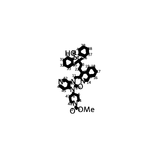 COC(=O)N1CCC(n2c(=O)n(Cc3ncc4ccccc4c3CCC(C)(C)[Si](O)(c3ccccc3)c3ccccc3)c3cnccc32)CC1